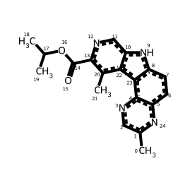 Cc1cnc2c(ccc3[nH]c4cnc(C(=O)OC(C)C)c(C)c4c32)n1